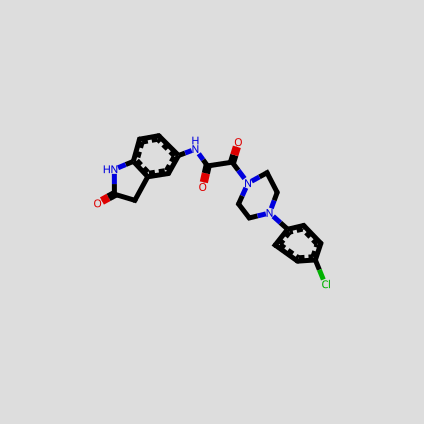 O=C1Cc2cc(NC(=O)C(=O)N3CCN(c4ccc(Cl)cc4)CC3)ccc2N1